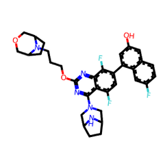 Oc1cc(-c2cc(F)c3c(N4CC5CCC(C4)N5)nc(OCCCN4C5CCC4COC5)nc3c2F)c2cc(F)ccc2c1